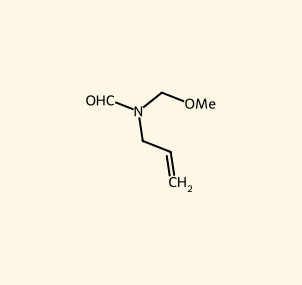 C=CCN(C=O)COC